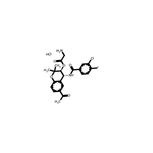 CC(=O)c1ccc2c(c1)[C@@H](NC(=O)c1ccc(F)c(Cl)c1)[C@H](OC(=O)CN)C(C)(C)O2.Cl